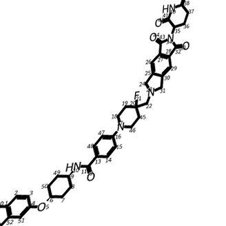 N#Cc1ccc(O[C@H]2CC[C@H](NC(=O)c3ccc(N4CCC(F)(CN5Cc6cc7c(cc6C5)C(=O)N(C5CCC(=O)NC5=O)C7=O)CC4)cc3)CC2)cc1Cl